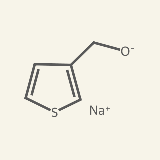 [Na+].[O-]Cc1ccsc1